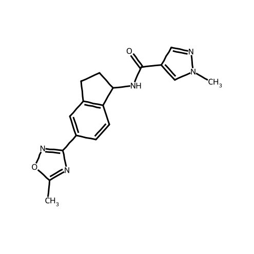 Cc1nc(-c2ccc3c(c2)CCC3NC(=O)c2cnn(C)c2)no1